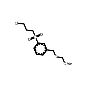 COCOCc1cccc(S(=O)(=O)CCCCl)c1